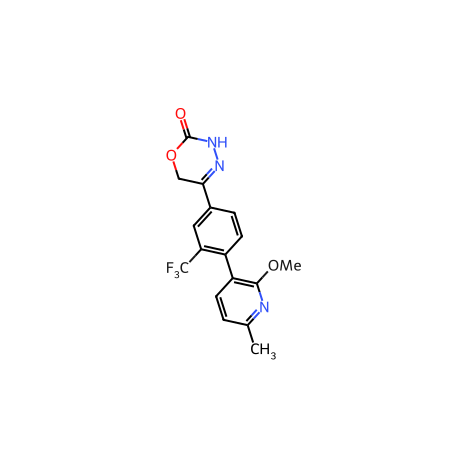 COc1nc(C)ccc1-c1ccc(C2=NNC(=O)OC2)cc1C(F)(F)F